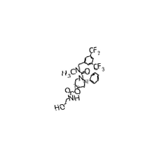 CN(Cc1cc(C(F)(F)F)cc(C(F)(F)F)c1)C(=O)N1CC[C@H](OC(=O)NCCO)C[C@H]1c1ccccc1